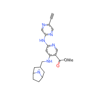 C#Cc1cnc(Nc2cc(NCC3CC4CCC(C3)N4C)c(C(=O)OC)cn2)cn1